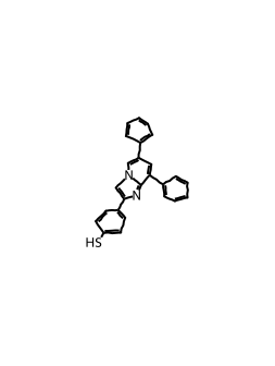 Sc1ccc(-c2cn3cc(-c4ccccc4)cc(-c4ccccc4)c3n2)cc1